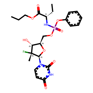 CCCOC(=O)[C@H](CC)NP(=O)(OC[C@H]1O[C@@H](n2ccc(=O)[nH]c2=O)[C@](C)(F)[C@@H]1O)Oc1ccccc1